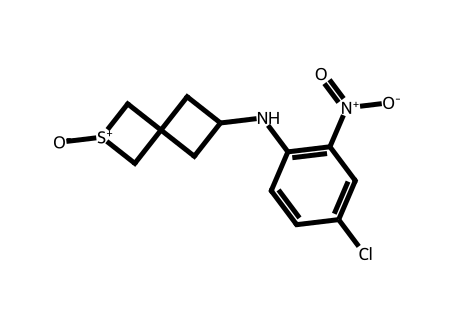 O=[N+]([O-])c1cc(Cl)ccc1NC1CC2(C1)C[S+]([O-])C2